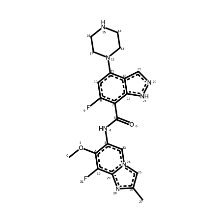 COc1c(NC(=O)c2c(F)cc(N3CCNCC3)c3cn[nH]c23)cn2cc(C)nc2c1F